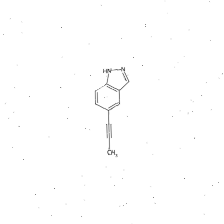 CC#Cc1ccc2[nH]ncc2c1